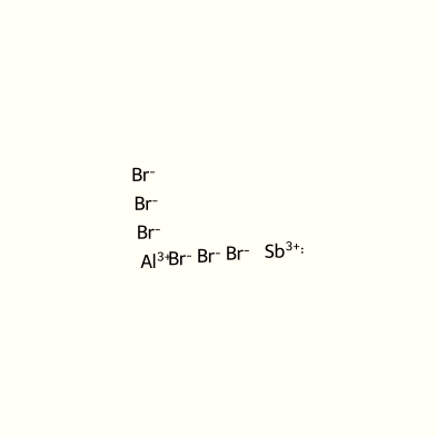 [Al+3].[Br-].[Br-].[Br-].[Br-].[Br-].[Br-].[Sb+3]